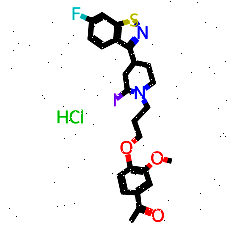 COc1cc(C(C)=O)ccc1OCCCN1CCC(c2nsc3cc(F)ccc23)CC1I.Cl